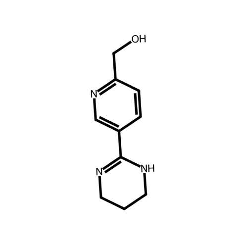 OCc1ccc(C2=NCCCN2)cn1